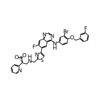 O=S(=O)=C(CNCc1nc(-c2cc3c(Nc4ccc(OCc5cccc(F)c5)c(Br)c4)ncnc3cc2F)cs1)c1ccccn1